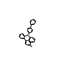 Cc1ccc(-c2ccccc2N(c2ccccc2)c2ccc(-c3ccccc3)cc2)cc1